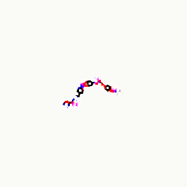 CCCN(CCC)S(=O)(=O)c1ccc(OCc2nc(-c3ccc(S(=O)(=O)Nc4ccc(CCNCC(O)c5cccnc5)cc4)cc3)no2)cc1